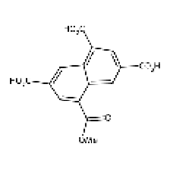 COC(=O)c1cc(C(=O)O)cc2c(C(=O)O)cc(C(=O)O)cc12